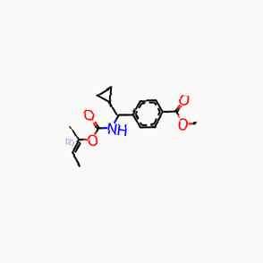 C/C=C(/C)OC(=O)NC(c1ccc(C(=O)OC)cc1)C1CC1